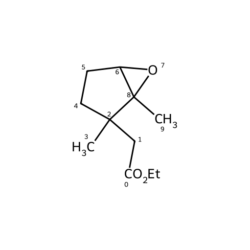 CCOC(=O)CC1(C)CCC2OC21C